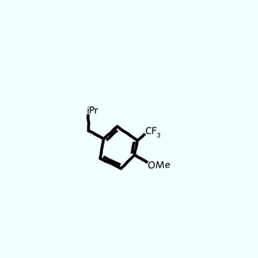 COc1ccc(CC(C)C)cc1C(F)(F)F